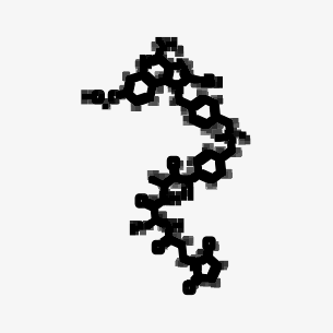 CCCCc1nc2c(N)nc3cc(C(=O)O)ccc3c2n1Cc1ccc(C[N+](C)(C)Cc2ccc(NC(=O)[C@H](C)NC(=O)[C@@H](NC(=O)CCN3C(=O)C=CC3=O)C(C)C)cc2)cc1